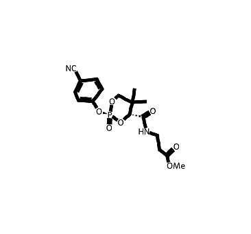 COC(=O)CCNC(=O)[C@@H]1O[P@](=O)(Oc2ccc(C#N)cc2)OCC1(C)C